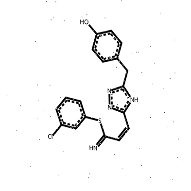 N=C(/C=C\c1nnc(Cc2ccc(O)cc2)[nH]1)Sc1cccc(Cl)c1